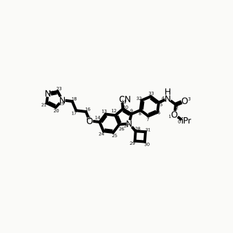 CC(C)OC(=O)Nc1ccc(-c2c(C#N)c3cc(OCCCn4ccnc4)ccc3n2C2CCC2)cc1